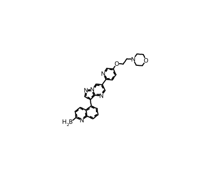 Bc1ccc2c(-c3cnn4cc(-c5ccc(OCCN6CCOCC6)cn5)cnc34)cccc2n1